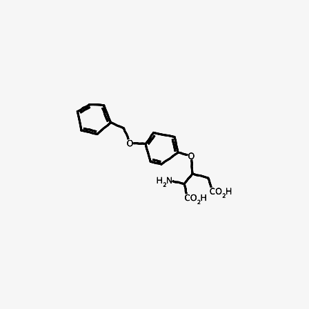 NC(C(=O)O)C(CC(=O)O)Oc1ccc(OCc2ccccc2)cc1